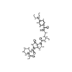 CCN(CC)c1ccc(C(=O)NCCC(C)CC(=O)N2CCC3C2C(=O)CN3C(=O)C2CCCCN2C(C)=O)cc1